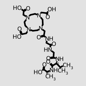 CC(C)[C@H](NC(=O)CNC(=O)CNC(=O)CN1CCN(CC(=O)O)CCN(CC(=O)O)CCN(CC(=O)O)CC1)C(=O)N[C@H](C)C(=O)O